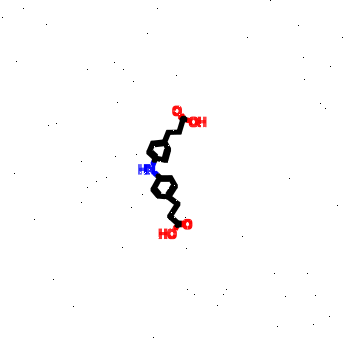 O=C(O)CCc1ccc(Nc2ccc(CCC(=O)O)cc2)cc1